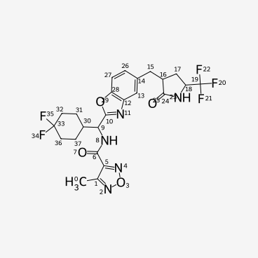 Cc1nonc1C(=O)NC(c1nc2cc(CC3CC(C(F)(F)F)NC3=O)ccc2o1)C1CCC(F)(F)CC1